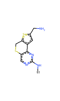 CCNc1ncc2c(n1)-c1cc(CN)sc1CS2